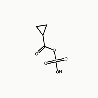 O=C(OS(=O)(=O)O)C1CC1